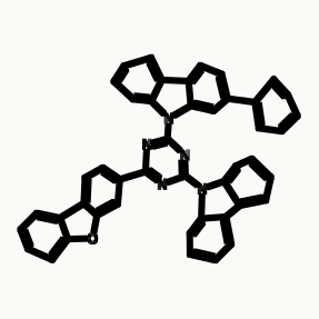 c1ccc(-c2ccc3c4ccccc4n(-c4nc(-c5ccc6c(c5)oc5ccccc56)nc(-n5c6ccccc6c6ccccc65)n4)c3c2)cc1